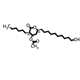 CCCCCCCCCCC[C@H]1C[C@@H](OC(C)=O)[C@@H](CCCCCC)C(=O)O1